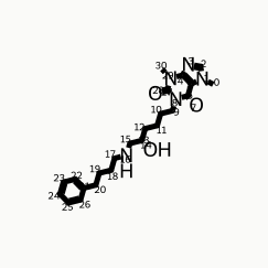 Cn1cnc2c1c(=O)n(CCCCC(O)CNCCCCc1ccccc1)c(=O)n2C